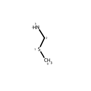 CSC[NH]